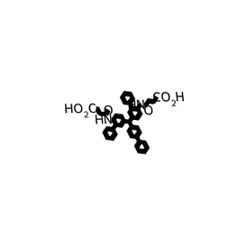 O=C(O)/C=C/C(=O)Nc1ccc(C(c2ccc(-c3ccccc3)cc2)c2ccc(NC(=O)/C=C/C(=O)O)c(-c3ccccc3)c2)cc1-c1ccccc1